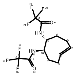 O=C(N[C@@H]1CC/C=C/CC[C@H]1NC(=O)C(F)(F)F)C(F)(F)F